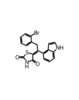 O=C1NC(=O)C(=C(Cc2ccccc2Br)c2cccc3[nH]ccc23)S1